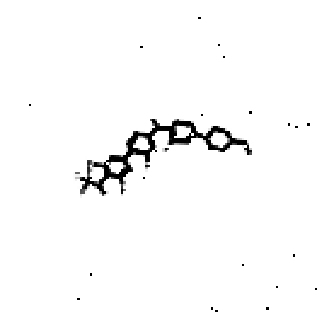 CCC1CCC(c2ccc(C(C)c3ccc(-c4cc(F)c(C(C)C(F)(F)F)c(F)c4)c(F)c3)c(F)c2)CC1